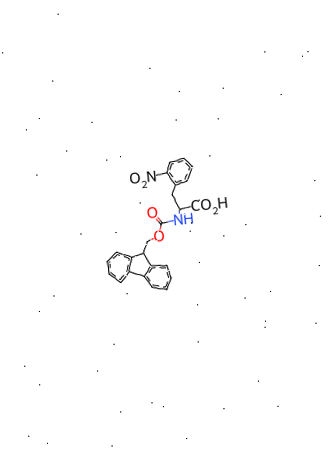 O=C(NC(Cc1ccccc1[N+](=O)[O-])C(=O)O)OCC1c2ccccc2-c2ccccc21